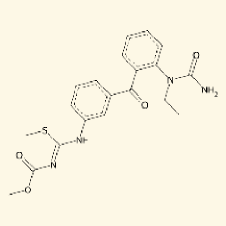 CCN(C(N)=O)c1ccccc1C(=O)c1cccc(NC(=NC(=O)OC)SC)c1